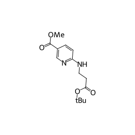 COC(=O)c1ccc(NCCC(=O)OC(C)(C)C)nc1